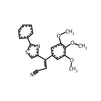 COc1cc(/C(=C/C#N)c2csc(-c3ccccc3)n2)cc(OC)c1OC